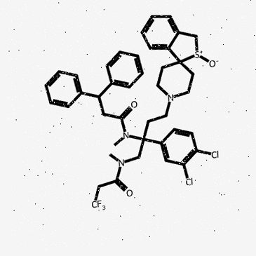 CN(CC(CCN1CCC2(CC1)c1ccccc1C[S+]2[O-])(c1ccc(Cl)c(Cl)c1)N(C)C(=O)CC(c1ccccc1)c1ccccc1)C(=O)CC(F)(F)F